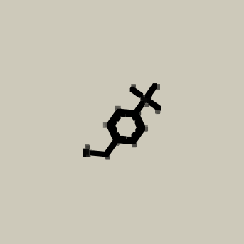 [CH3][Sn]([CH3])([CH3])[c]1ccc(CBr)cc1